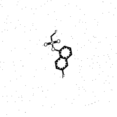 O=S(=O)(CF)Oc1cccc2cc(F)ccc12